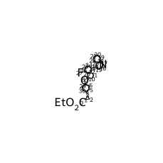 CCOC(=O)[C@H]1C[C@@H]1c1ccc(O[C@@H]2CCc3c(-c4ccnc5ccccc45)ccc(F)c32)cc1